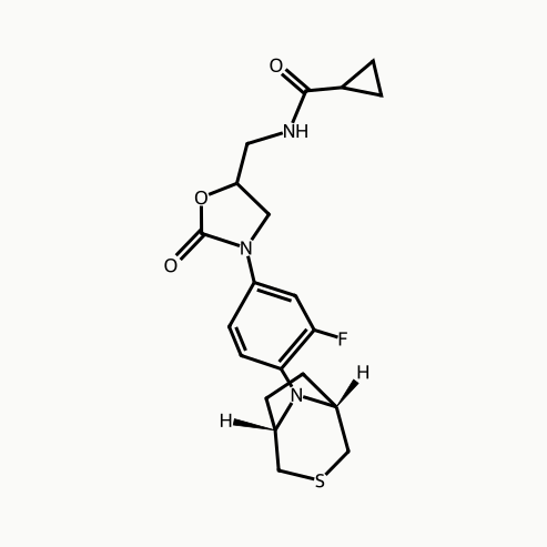 O=C(NCC1CN(c2ccc(N3[C@@H]4CC[C@H]3CSC4)c(F)c2)C(=O)O1)C1CC1